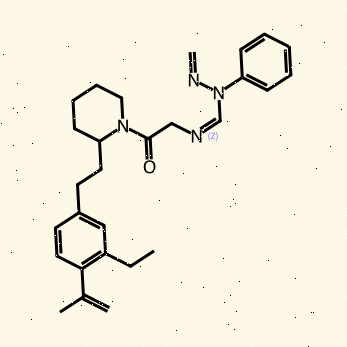 C=NN(/C=N\CC(=O)N1CCCCC1CCc1ccc(C(=C)C)c(CC)c1)c1ccccc1